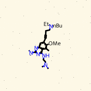 CCCCN(CC)CCC#Cc1cc2nc(N(C)C)nc(NCCN(C)C)c2c(C)c1OC